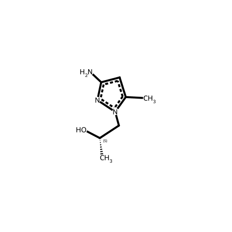 Cc1cc(N)nn1C[C@H](C)O